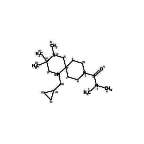 CN(C)C(=O)N1CCC2(CC1)CN(C)C(C)(C)CN2CC1CC1